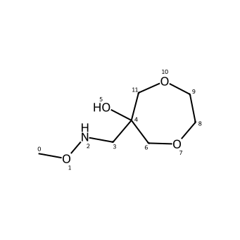 CONCC1(O)COCCOC1